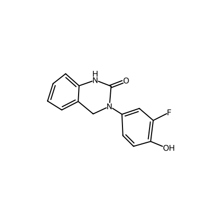 O=C1Nc2ccccc2CN1c1ccc(O)c(F)c1